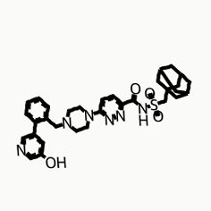 O=C(NS(=O)(=O)CC12CC3CC(CC(C3)C1)C2)c1ccc(N2CCN(Cc3ccccc3-c3cncc(O)c3)CC2)nn1